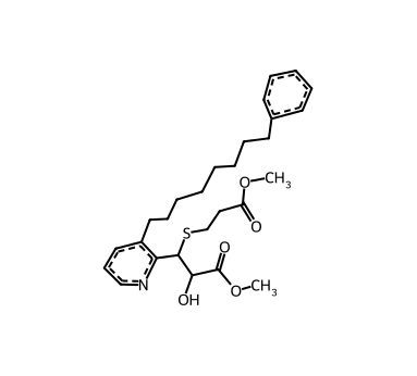 COC(=O)CCSC(c1ncccc1CCCCCCCCc1ccccc1)C(O)C(=O)OC